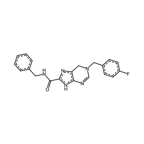 O=C(NCc1ccccc1)c1nc2c([nH]1)N=CN(Cc1ccc(F)cc1)C2